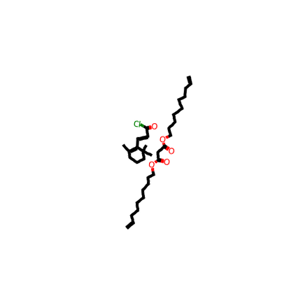 C=CCCCCCCCCOC(=O)CC(=O)OCCCCCCCCC=C.CC1=C(C=CC(=O)Cl)C(C)(C)CCC1